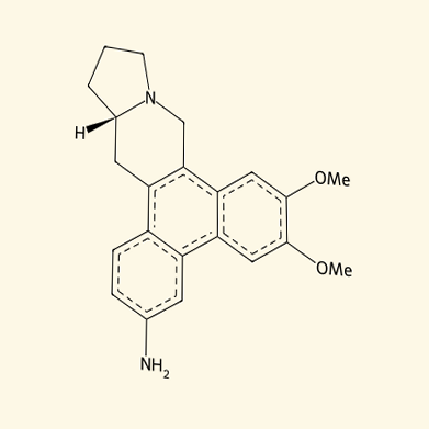 COc1cc2c3c(c4ccc(N)cc4c2cc1OC)C[C@@H]1CCCN1C3